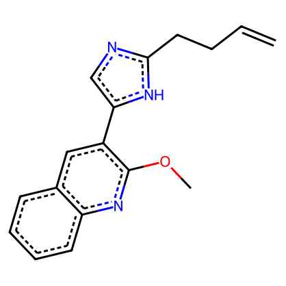 C=CCCc1ncc(-c2cc3ccccc3nc2OC)[nH]1